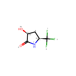 O=C1N[C@H](C(F)(F)F)C[C@@H]1O